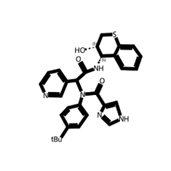 CC(C)(C)c1ccc(N(C(=O)c2c[nH]cn2)C(C(=O)N[C@H]2c3ccccc3SC[C@H]2O)c2cccnc2)cc1